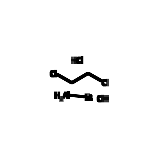 C[CH2][AlH2].Cl.Cl.ClCCCl